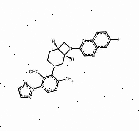 Cc1ccc(-n2nccn2)c(C=O)c1N1CC[C@@H]2CN(c3cnc4cc(F)ccc4n3)[C@@H]2C1